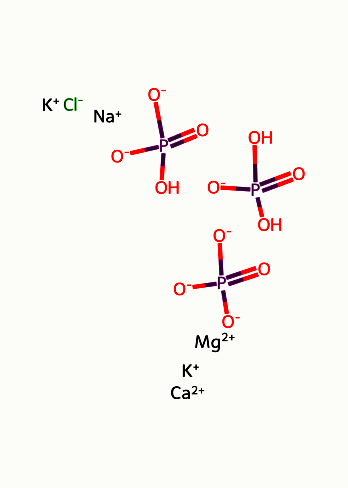 O=P([O-])(O)O.O=P([O-])([O-])O.O=P([O-])([O-])[O-].[Ca+2].[Cl-].[K+].[K+].[Mg+2].[Na+]